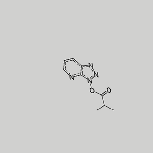 CC(C)C(=O)On1nnc2cccnc21